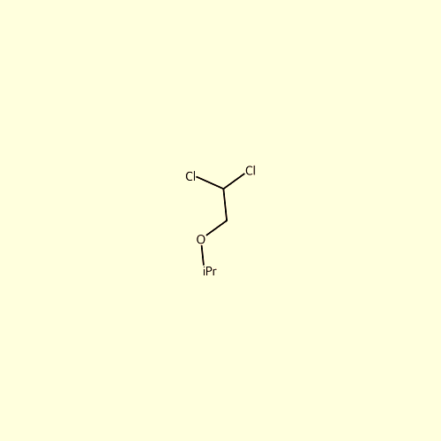 CC(C)OCC(Cl)Cl